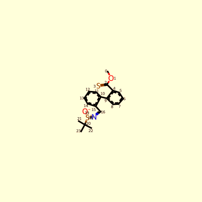 COC(=S)c1ccccc1-c1ccccc1/C=N\[S+]([O-])C(C)(C)C